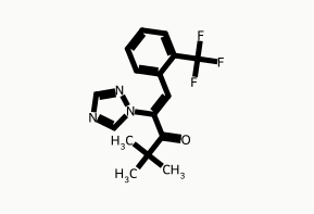 CC(C)(C)C(=O)C(=Cc1ccccc1C(F)(F)F)n1cncn1